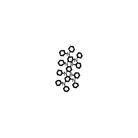 c1ccc(N(c2ccccc2)c2cc3c4c(c2)N(c2ccccc2)c2cc5c(cc2B4c2ccccc2N3c2ccccc2)B2c3ccccc3N(c3ccccc3)c3cc(N(c4ccccc4)c4ccccc4)cc(c32)N5c2ccccc2)cc1